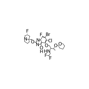 C[C@H](OC1CCCCO1)C(COc1c(Cl)c(Br)c(F)c2nc(OC[C@@]34CCCN3C[C@H](F)C4)nc(O)c12)NCC(F)F